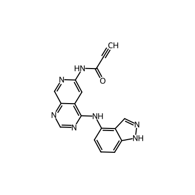 C#CC(=O)Nc1cc2c(Nc3cccc4[nH]ncc34)ncnc2cn1